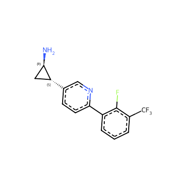 N[C@@H]1C[C@H]1c1ccc(-c2cccc(C(F)(F)F)c2F)nc1